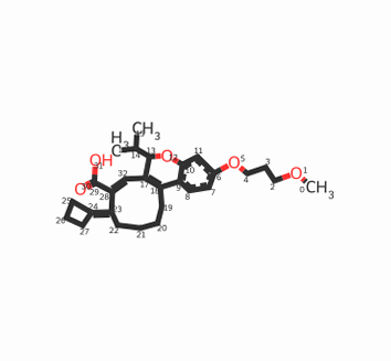 COCCCOc1ccc2c(c1)OC(C(C)C)C1=C2CCCCC(=C2CCC2)/C(C(=O)O)=C\1